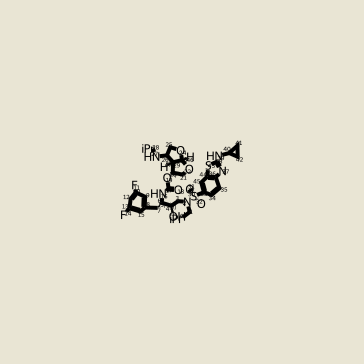 CC(C)CN(C[C@@H](O)[C@H](Cc1cc(F)cc(F)c1)NC(=O)O[C@H]1CO[C@H]2OCC(NC(C)C)[C@H]21)S(=O)(=O)c1ccc2nc(NC3CC3)sc2c1